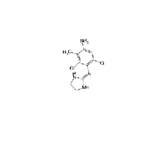 Cc1c(N)cc(Cl)c(N=C2NCCN2)c1Cl